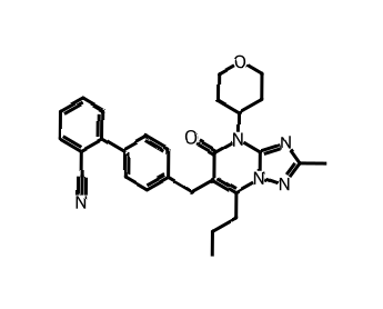 CCCc1c(Cc2ccc(-c3ccccc3C#N)cc2)c(=O)n(C2CCOCC2)c2nc(C)nn12